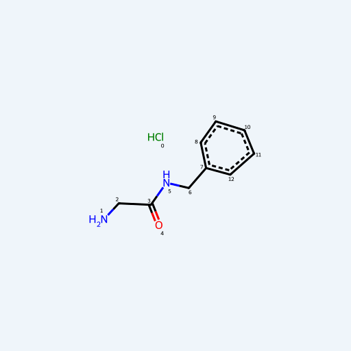 Cl.NCC(=O)NCc1ccccc1